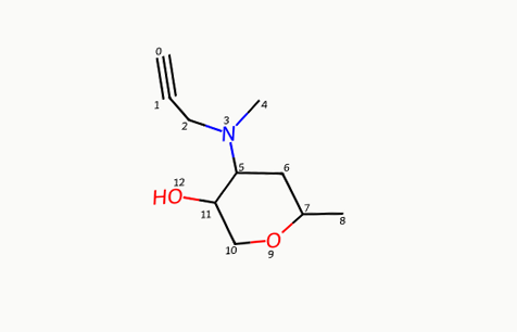 C#CCN(C)C1CC(C)OCC1O